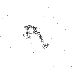 COc1ccc(C[C@H]2NC(=O)/C=C/C[C@@H]([C@H](C)[C@H]3O[C@@H]3c3ccc(Cn4cc(COCCC(=O)ON5C(=O)CCC5=O)nn4)cc3)OC(=O)[C@H](CC(C)(C)C)NC(=O)C(C)(C)[C@H](C)NC2=O)cc1Cl